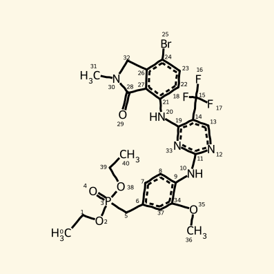 CCOP(=O)(Cc1ccc(Nc2ncc(C(F)(F)F)c(Nc3ccc(Br)c4c3C(=O)N(C)C4)n2)c(OC)c1)OCC